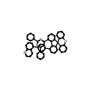 c1ccc(-c2cc(-c3cccc4c3-c3c(-c5ccc(-c6cccc7ncccc67)cc5)cccc3C43c4ccccc4Oc4ccccc43)nc(-c3ccccc3)n2)cc1